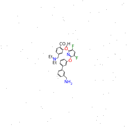 CCN(CC)Cc1ccc(C(=O)O)c(Oc2nc(Oc3cccc(-c4cccc(CN)c4)c3)c(F)cc2F)c1